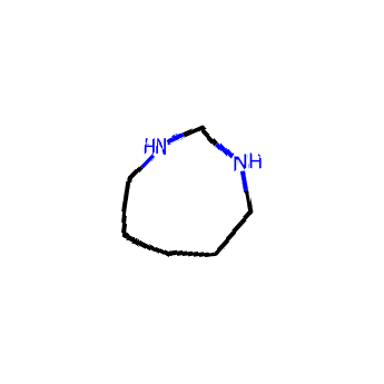 C1CCNCNCC1